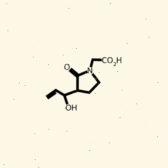 C=CC(O)C1CCN(CC(=O)O)C1=O